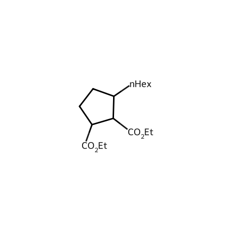 CCCCCCC1CCC(C(=O)OCC)C1C(=O)OCC